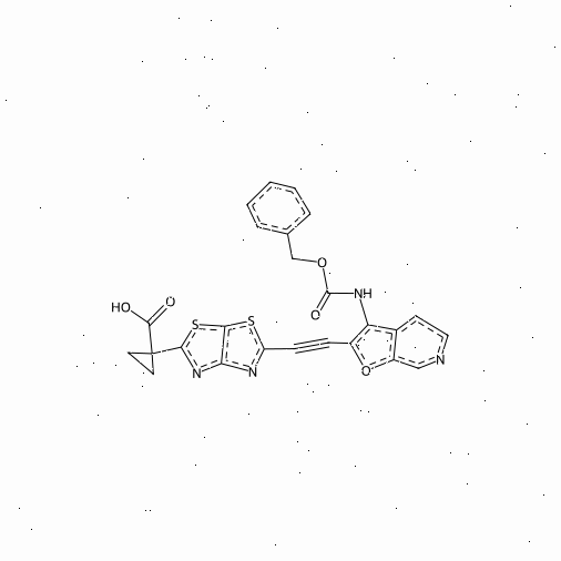 O=C(Nc1c(C#Cc2nc3nc(C4(C(=O)O)CC4)sc3s2)oc2cnccc12)OCc1ccccc1